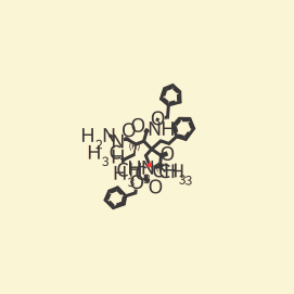 CC(C)C[C@@H](C(=O)NN)C(C(=O)NOCc1ccccc1)C(CCc1ccccc1)(CC(C)C)C(=O)[C@@H](C)NC(=O)OCc1ccccc1